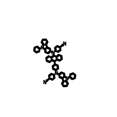 N#Cc1ccc(N(c2ccc(-c3c4ccccc4c(N(c4ccc(C#N)cc4)c4ccc5c(c4)c4ccccc4n5-c4ccccc4)c4ccccc34)cc2)c2ccc3c(c2)c2ccccc2n3-c2ccccc2)cc1